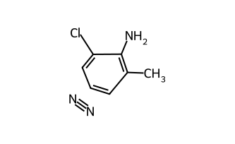 Cc1cccc(Cl)c1N.N#N